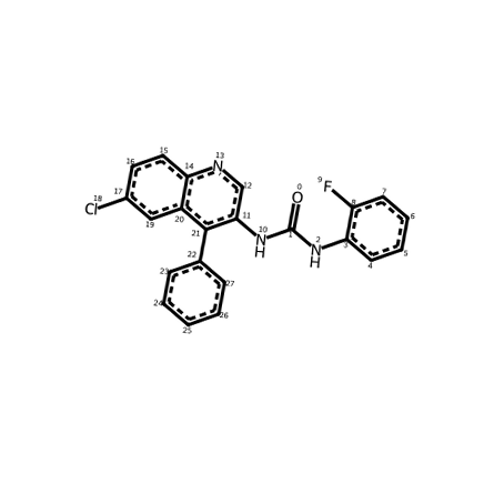 O=C(Nc1ccccc1F)Nc1cnc2ccc(Cl)cc2c1-c1ccccc1